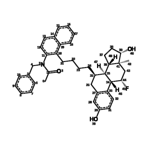 CC(=O)N(Cc1ccccc1)c1ccc2ccccc2c1CCCC[C@@H]1Cc2cc(O)ccc2[C@@H]2[C@@H]1[C@@H]1CC[C@H](O)[C@@]1(C)C[C@@H]2F